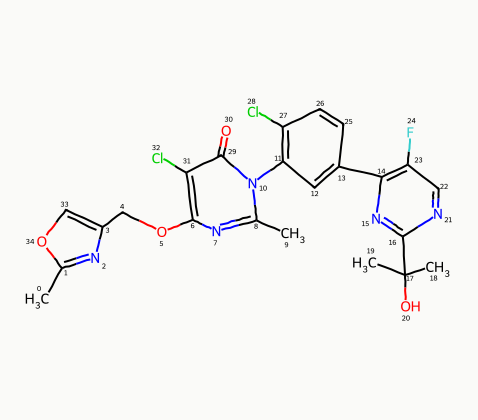 Cc1nc(COc2nc(C)n(-c3cc(-c4nc(C(C)(C)O)ncc4F)ccc3Cl)c(=O)c2Cl)co1